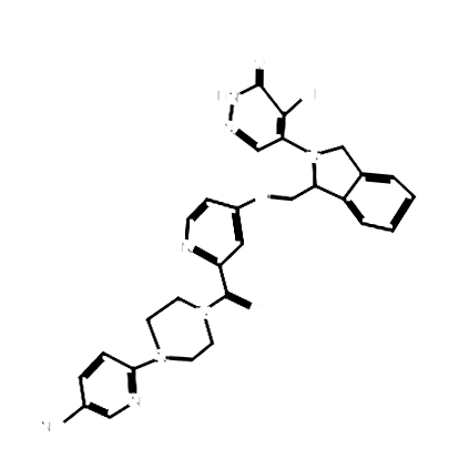 N#Cc1ccc(N2CCN(C(=O)c3cc(OCC4c5ccccc5CN4c4cn[nH]c(=O)c4C(F)(F)F)ccn3)CC2)nc1